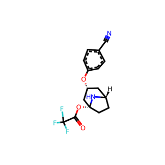 N#Cc1ccc(O[C@@H]2C[C@@H]3CC[C@@](OC(=O)C(F)(F)F)(C2)N3)cc1